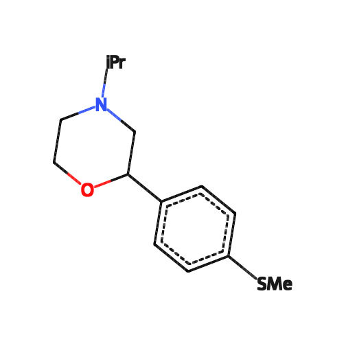 CSc1ccc(C2CN(C(C)C)CCO2)cc1